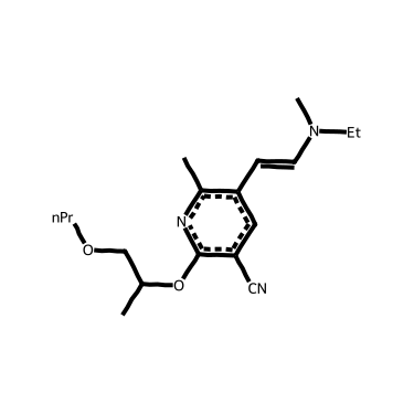 CCCOCC(C)Oc1nc(C)c(/C=C/N(C)CC)cc1C#N